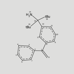 C=C(c1ccccc1)c1cccc(C(N)(C(C)(C)C)C(C)(C)C)c1